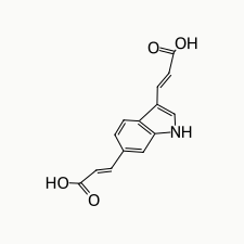 O=C(O)/C=C/c1ccc2c(/C=C/C(=O)O)c[nH]c2c1